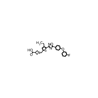 CCc1cc(CN2CC(C(=O)O)C2)sc1-c1noc(-c2ccc(Oc3cccc(F)c3)cc2)n1